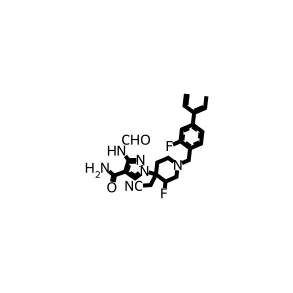 C=C/C(=C\C)c1ccc(CN2CCC(CC#N)(n3cc(C(N)=O)c(NC=O)n3)C(F)C2)c(F)c1